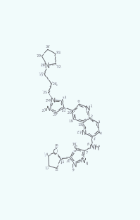 c1nc2ccc(Nc3nnc(C4CCCO4)s3)nc2cc1-c1cnn(CCCN2CCCC2)c1